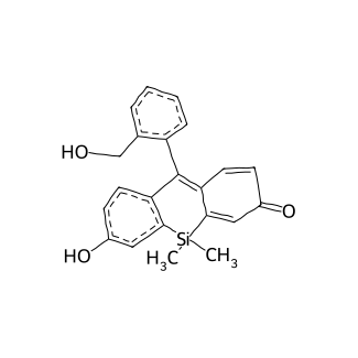 C[Si]1(C)C2=CC(=O)C=CC2=C(c2ccccc2CO)c2ccc(O)cc21